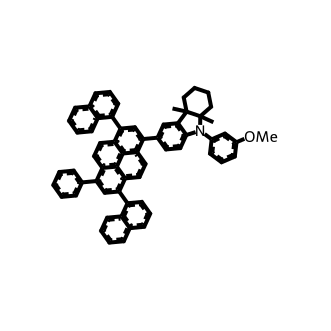 COc1cccc(N2c3ccc(-c4cc(-c5cccc6ccccc56)c5ccc6c(-c7ccccc7)cc(-c7cccc8ccccc78)c7ccc4c5c67)cc3C3(C)CCCCC23C)c1